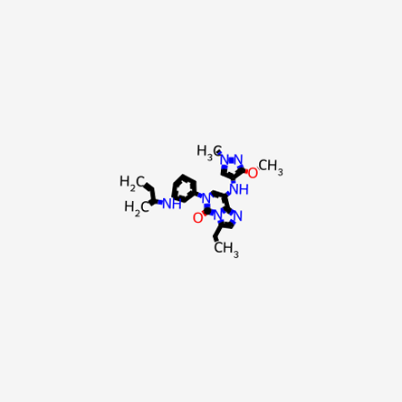 C=CC(=C)Nc1cccc(-n2cc(Nc3cn(C)nc3OC)c3ncc(CC)n3c2=O)c1